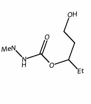 CCC(CCO)OC(=O)NNC